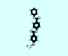 O=C(Oc1ccc(C(=O)OC2CCCCC2)cc1)c1ccc(OC(F)(F)F)cc1